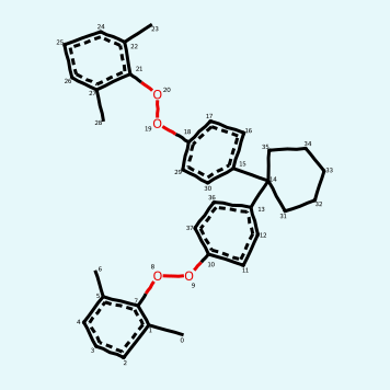 Cc1cccc(C)c1OOc1ccc(C2(c3ccc(OOc4c(C)cccc4C)cc3)CCCCC2)cc1